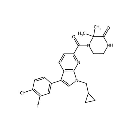 CC1(C)C(=O)NCCN1C(=O)c1ccc2c(-c3ccc(Cl)c(F)c3)cn(CC3CC3)c2n1